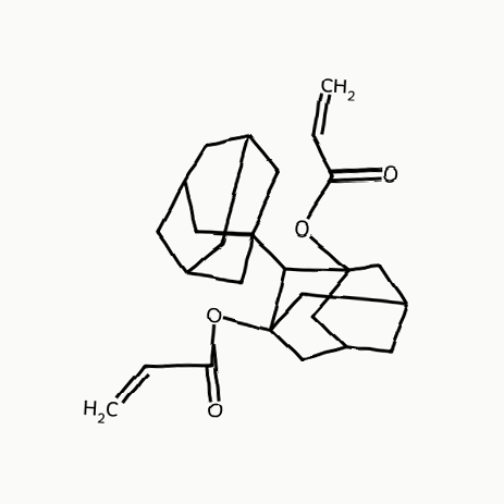 C=CC(=O)OC12CC3CC(C1)CC(OC(=O)C=C)(C3)C2C12CC3CC(CC(C3)C1)C2